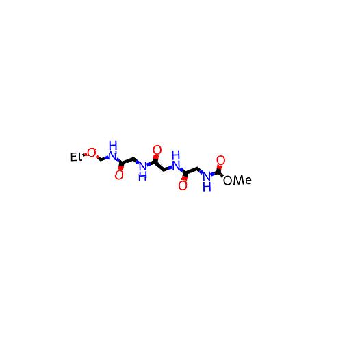 CCOCNC(=O)CNC(=O)CNC(=O)CNC(=O)OC